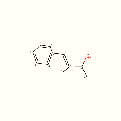 C/C(=C\c1ccccc1)C(C)O